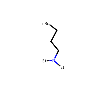 [CH2]CCCCCCN(CC)CC